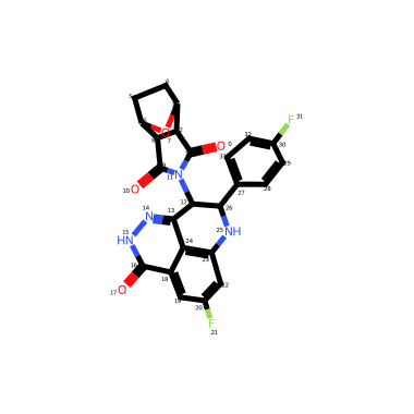 O=C1C2C3CCC(O3)C2C(=O)N1C1c2n[nH]c(=O)c3cc(F)cc(c23)NC1c1ccc(F)cc1